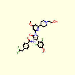 COc1cc(C2CCN(CCO)CC2)nc(N2C[C@@H](c3c(F)cc(OC)cc3F)[C@H](NC(=O)c3ccc(CC(F)F)cc3)C2=O)c1